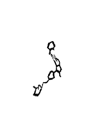 CC1=C(c2ccc(CCN3CCCC3C)cc2)C2CN(Cc3ccccc3)CC2C1